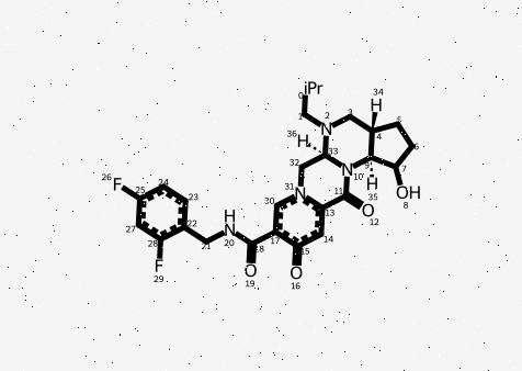 CC(C)CN1C[C@@H]2CCC(O)[C@H]2N2C(=O)c3cc(=O)c(C(=O)NCc4ccc(F)cc4F)cn3C[C@@H]12